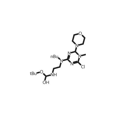 CCCCN(CCNC(O)OC(C)(C)C)C1=NC(N2CCOCC2)N(C)C(Cl)=N1